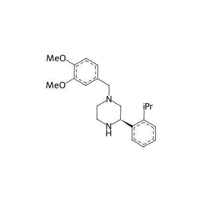 COc1ccc(CN2CCN[C@H](c3ccccc3C(C)C)C2)cc1OC